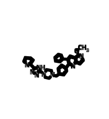 COc1nccc2nc(-c3ccc(CN4CCN(c5nnc(-c6ccccn6)[nH]5)CC4)cc3)c(-c3ccccc3)cc12